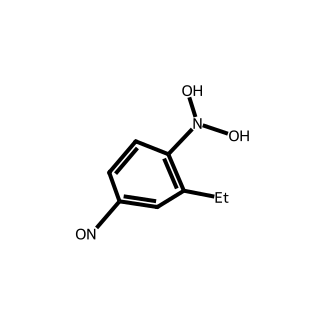 CCc1cc(N=O)ccc1N(O)O